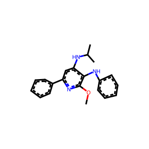 COc1nc(-c2ccccc2)cc(NC(C)C)c1Nc1ccccc1